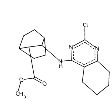 COC(=O)C1C2CCC(CC2)C1Nc1nc(Cl)nc2c1CCCC2